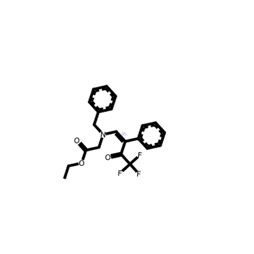 CCOC(=O)CN(/C=C(\C(=O)C(F)(F)F)c1ccccc1)Cc1ccccc1